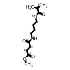 C=C(C)C(=O)OCCCCNC(=O)CCC(=O)OC